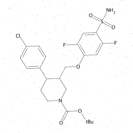 CC(C)(C)OC(=O)N1CCC(c2ccc(Cl)cc2)C(COc2cc(F)c(S(N)(=O)=O)cc2F)C1